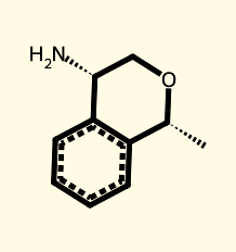 C[C@H]1OC[C@@H](N)c2ccccc21